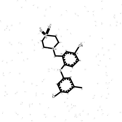 Cc1cc(Cl)cc(Sc2ccc(C#N)cc2CN2CCS(=O)(=O)CC2)c1